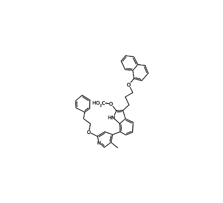 Cc1cnc(OCCc2ccccc2)cc1-c1cccc2c(CCCOc3cccc4ccccc34)c(OC(=O)O)[nH]c12